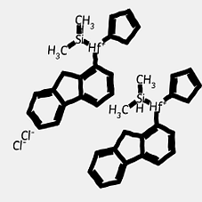 C[SiH](C)[Hf+]([C]1=CC=CC1)[c]1cccc2c1Cc1ccccc1-2.C[SiH](C)[Hf+]([C]1=CC=CC1)[c]1cccc2c1Cc1ccccc1-2.[Cl-].[Cl-]